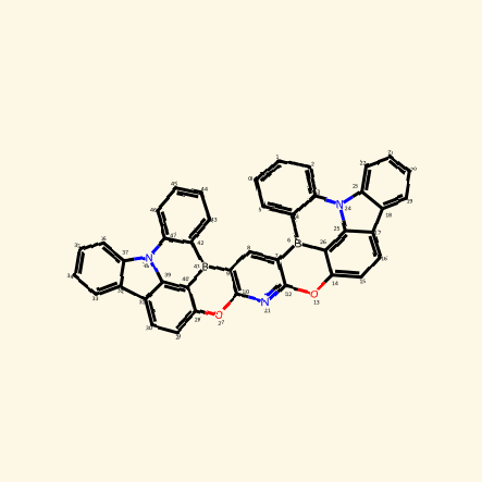 c1ccc2c(c1)B1c3cc4c(nc3Oc3ccc5c6ccccc6n-2c5c31)Oc1ccc2c3ccccc3n3c2c1B4c1ccccc1-3